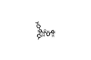 Cc1ccc(-n2nc(C3CCN(C(C)C)CC3)cc2NC(=O)c2cccc(-c3ccn[nH]3)n2)nc1